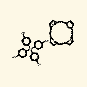 C1=Cc2cc3ccc(cc4nc(cc5ccc(cc1n2)[nH]5)C=C4)[nH]3.Oc1cc[c]([Cu]([c]2ccc(O)cc2)([c]2ccc(O)cc2)[c]2ccc(O)cc2)cc1